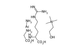 CC(N)=O.C[N+](C)(C)CCO.N=C(N)NCCCC(N)C(=O)O.NCC(=O)O